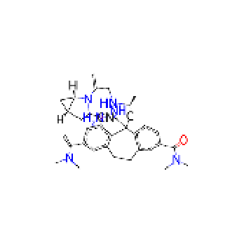 C=C(c1ccc2c(c1)CCc1cc(C(=O)N(C)C)ccc1C2(C[C@H](C)NCC(=C)N1C(C#N)C[C@@H]2C[C@@H]21)C(=N)N)N(C)C